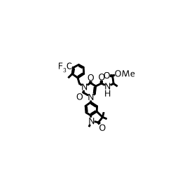 COC(=O)C(C)NC(=O)c1cn(-c2ccc3c(c2)C(C)(C)C(=O)N3C)c(=O)n(Cc2cccc(C(F)(F)F)c2C)c1=O